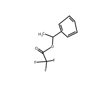 CC(OC(=O)C(F)(F)F)c1ccccc1